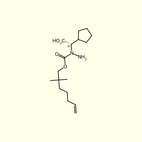 C=CCCCC(C)(C)COC(=O)N(N)[C@H](C(=O)O)C1CCCC1